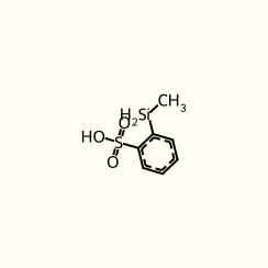 C[SiH2]c1ccccc1S(=O)(=O)O